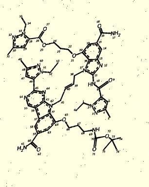 CCn1nc(C)cc1C(=O)Nc1nc2cc(C(N)=O)cc(OCCCOC(=O)c3cc(C)nn3CC)c2n1CC=CCn1c2nc(-c3cc(C)nn3CC)ncc2c2cc(C(N)=O)cc(OCCCNC(=O)OC(C)(C)C)c21